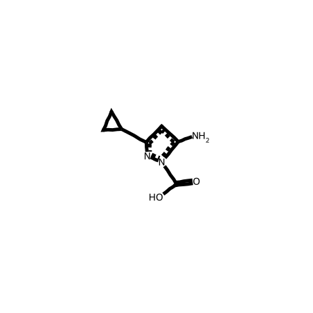 Nc1cc(C2CC2)nn1C(=O)O